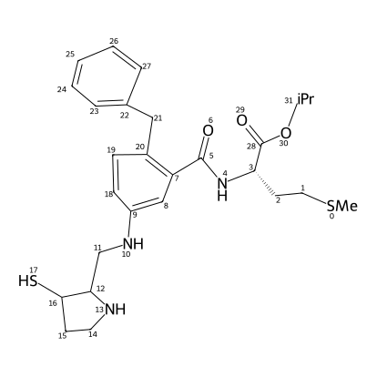 CSCC[C@H](NC(=O)c1cc(NCC2NCCC2S)ccc1Cc1ccccc1)C(=O)OC(C)C